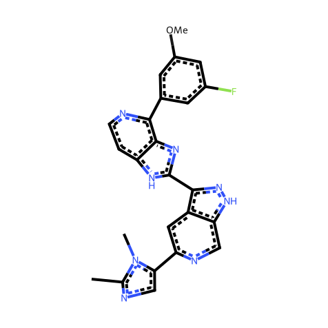 COc1cc(F)cc(-c2nccc3[nH]c(-c4n[nH]c5cnc(-c6cnc(C)n6C)cc45)nc23)c1